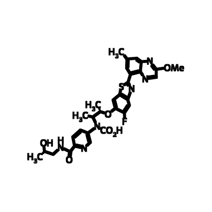 COc1cnc2c(-c3nc4cc(F)c(O[C@@H](C)C(C)N(C(=O)O)c5ccc(C(=O)NC[C@H](C)O)nc5)cc4s3)cc(C)cc2n1